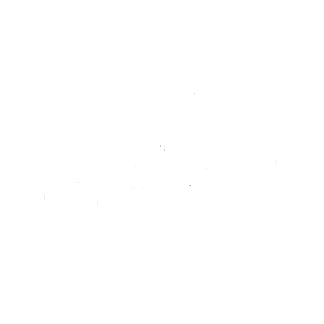 CC[Si](CC)(CC)OC(CNCC#CC(C)(C)C)c1c(Cl)cccc1C(F)(F)F